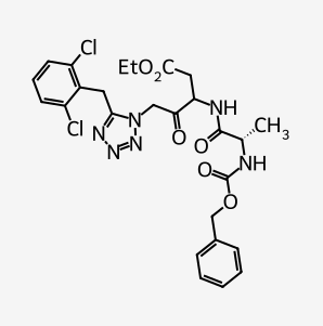 CCOC(=O)CC(NC(=O)[C@H](C)NC(=O)OCc1ccccc1)C(=O)Cn1nnnc1Cc1c(Cl)cccc1Cl